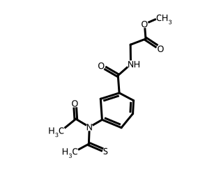 COC(=O)CNC(=O)c1cccc(N(C(C)=O)C(C)=S)c1